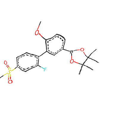 CCS(=O)(=O)c1ccc(-c2cc(B3OC(C)(C)C(C)(C)O3)ccc2OC)c(F)c1